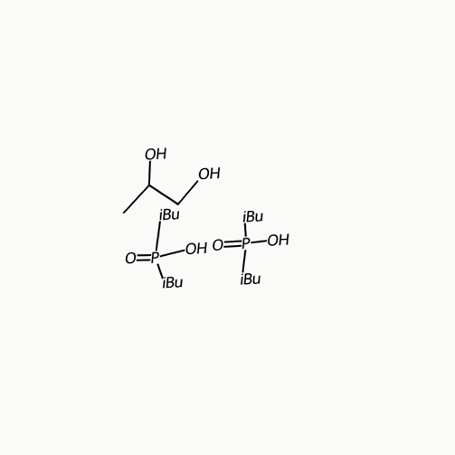 CC(O)CO.CCC(C)P(=O)(O)C(C)CC.CCC(C)P(=O)(O)C(C)CC